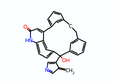 C=C1C=NC=C1C1(O)c2cccc(c2)CCc2cccc(c2)-c2cc(=O)[nH]c3ccc1cc23